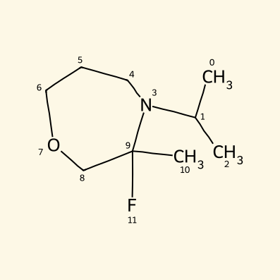 CC(C)N1CCCOCC1(C)F